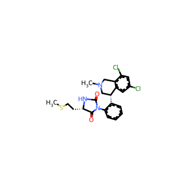 CSCC[C@@H]1NC(=O)N(c2ccccc2[C@@H]2CN(C)Cc3c(Cl)cc(Cl)cc32)C1=O